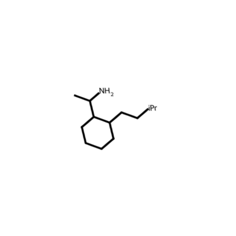 CC(C)CCC1CCCCC1C(C)N